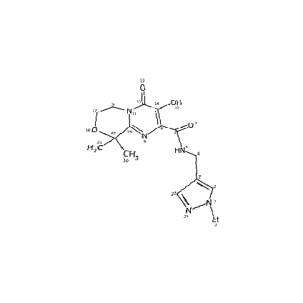 CCn1cc(CNC(=O)c2nc3n(c(=O)c2O)CCOC3(C)C)cn1